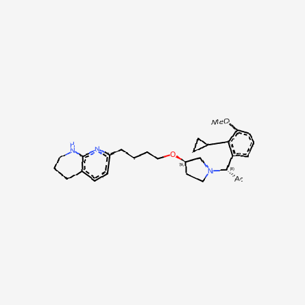 COc1cccc([C@H](C(C)=O)N2CC[C@@H](OCCCCc3ccc4c(n3)NCCC4)C2)c1C1CC1